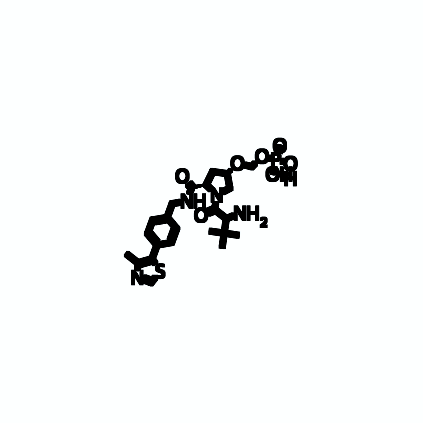 Cc1ncsc1-c1ccc(CNC(=O)[C@@H]2C[C@@H](OCOP(=O)(O)O)CN2C(=O)C(N)C(C)(C)C)cc1